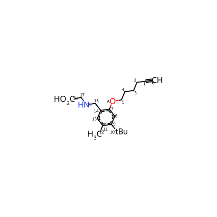 C#CCCCCOc1cc(C(C)(C)C)c(C)cc1CNCC(=O)O